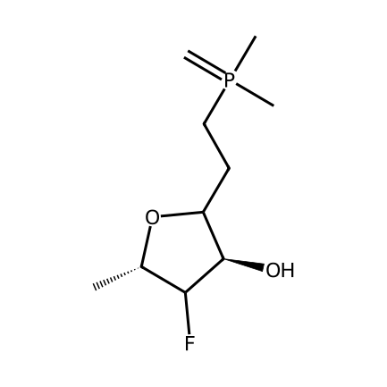 C=P(C)(C)CCC1O[C@@H](C)C(F)[C@@H]1O